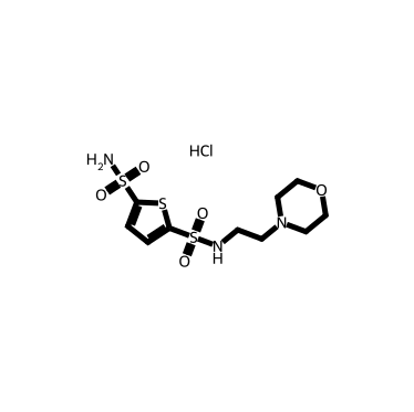 Cl.NS(=O)(=O)c1ccc(S(=O)(=O)NCCN2CCOCC2)s1